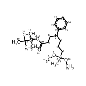 CO[Si](C)(CCCN(CCC(=O)O[Si](C)(C)C(C)(C)C)c1ccccc1)OC